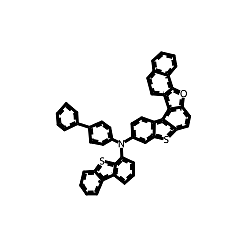 c1ccc(-c2ccc(N(c3ccc4c(c3)sc3ccc5oc6c7ccccc7ccc6c5c34)c3cccc4c3sc3ccccc34)cc2)cc1